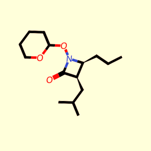 CCC[C@H]1[C@@H](CC(C)C)C(=O)N1OC1CCCCO1